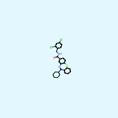 O=C(NCc1ccc(Cl)cc1Cl)c1ccc2c(c1)N=C(C1CCCCC1)c1ccccc1S2